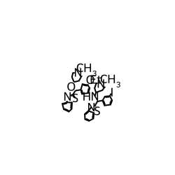 CCOc1cccc(C(OC2CCN(C)CC2)c2nc3ccccc3s2)c1.CN1CCC(NC(c2cccc(I)c2)c2nc3ccccc3s2)CC1